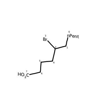 CCCCCCC(Br)CCCC(=O)O